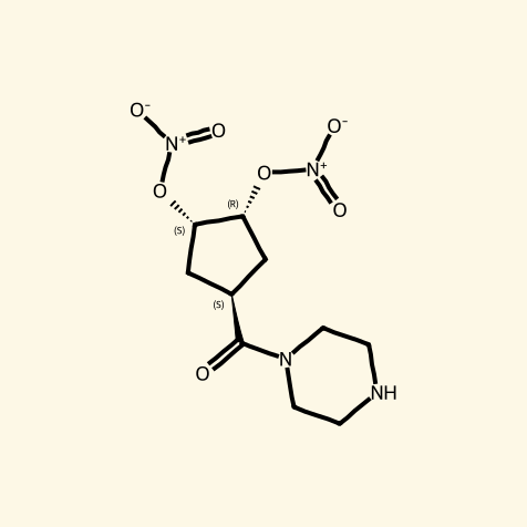 O=C([C@H]1C[C@H](O[N+](=O)[O-])[C@H](O[N+](=O)[O-])C1)N1CCNCC1